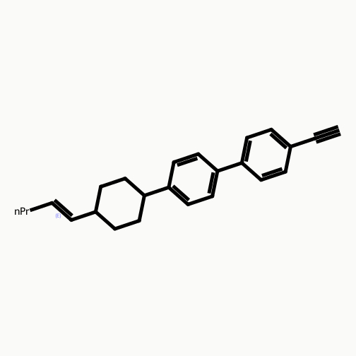 C#Cc1ccc(-c2ccc(C3CCC(/C=C/CCC)CC3)cc2)cc1